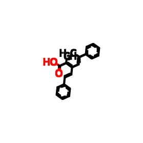 CC(=CC(C=Cc1ccccc1)=C(C)C(=O)O)c1ccccc1